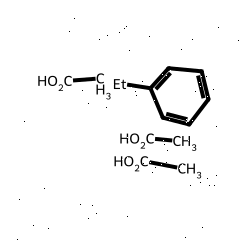 CC(=O)O.CC(=O)O.CC(=O)O.[CH2]Cc1ccccc1